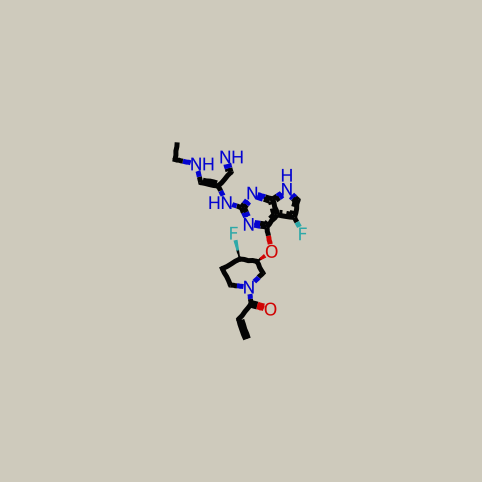 C=CC(=O)N1CC[C@@H](F)[C@@H](Oc2nc(N/C(C=N)=C/NCC)nc3[nH]cc(F)c23)C1